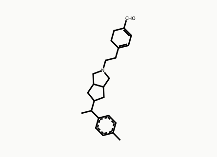 Cc1ccc(C(C)C2CC3CN(CCC4=CC=C(C=O)CC4)CC3C2)cc1